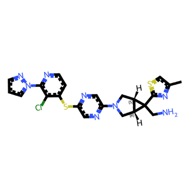 Cc1csc(C2(CN)[C@@H]3CN(c4cnc(Sc5ccnc(-n6cccn6)c5Cl)cn4)C[C@@H]32)n1